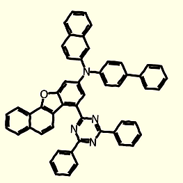 c1ccc(-c2ccc(N(c3ccc4ccccc4c3)c3cc(-c4nc(-c5ccccc5)nc(-c5ccccc5)n4)c4c(c3)oc3c5ccccc5ccc34)cc2)cc1